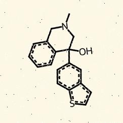 CN1Cc2ccccc2C(O)(c2ccc3sccc3c2)C1